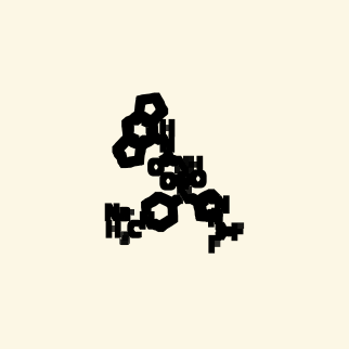 CN1CCC(N(c2cnn(C(F)F)c2)S(=O)(=O)NC(=O)Nc2c3c(cc4c2CCC4)CCC3)CC1.[Na]